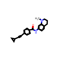 CN1CCCc2ccc(NC(=O)c3ccc(C#CC4CC4)cc3)cc21